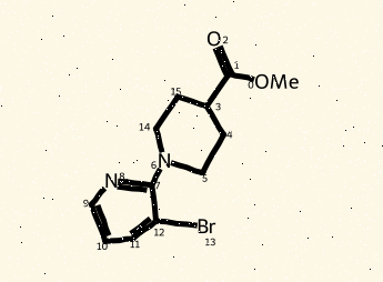 COC(=O)C1CCN(c2ncccc2Br)CC1